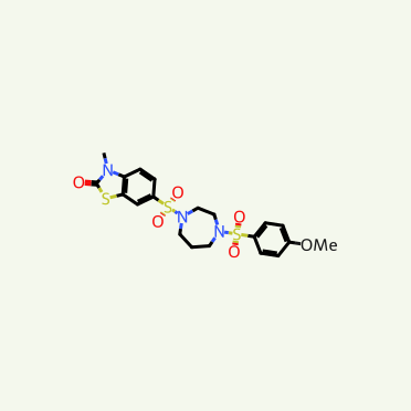 COc1ccc(S(=O)(=O)N2CCCN(S(=O)(=O)c3ccc4c(c3)sc(=O)n4C)CC2)cc1